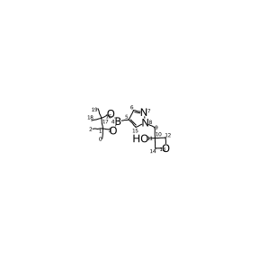 CC1(C)OB(c2cnn(CC3(O)COC3)c2)OC1(C)C